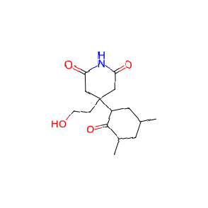 CC1CC(C)C(=O)C(C2(CCO)CC(=O)NC(=O)C2)C1